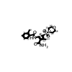 Cc1ccccc1C(=O)Nc1sc(S(=O)(=O)N2CCOCC2)c(C)c1C(N)=O